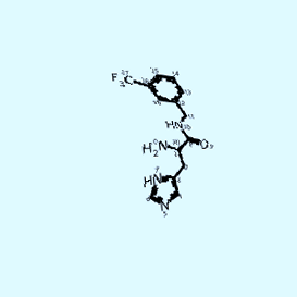 N[C@H](Cc1cnc[nH]1)C(=O)NCc1cccc(C(F)(F)F)c1